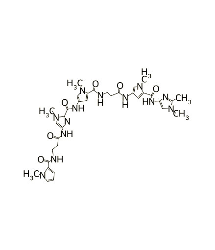 Cc1nc(NC(=O)c2cc(NC(=O)CCNC(=O)c3cc(NC(=O)c4nc(NC(=O)CCNC(=O)c5cccn5C)cn4C)cn3C)cn2C)cn1C